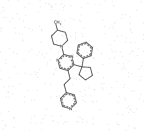 CC1CCN(c2ncc(CCc3ccncc3)c(C3(c4ccccc4)CCCC3)n2)CC1